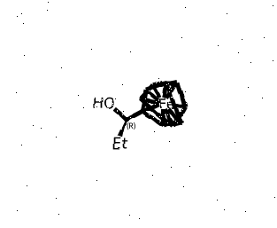 CC[C@@H](O)[C]12[CH]3[CH]4[CH]5[CH]1[Fe]45321678[CH]2[CH]1[CH]6[CH]7[CH]28